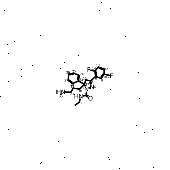 CCNC(=O)N1N=C(c2cc(F)ccc2F)CC1(CCCNC)c1ccccc1